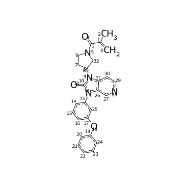 C=C(C)C(=O)N1CC[C@@H](n2c(=O)n(-c3cccc(Oc4ccccc4)c3)c3cnccc32)C1